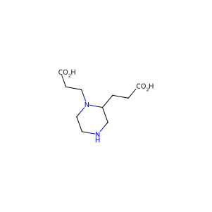 O=C(O)CCC1CNCCN1CCC(=O)O